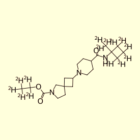 [2H]C([2H])([2H])C([2H])([2H])OC(=O)N1CCC2(CC(N3CCC(C(=O)NC4(C([2H])([2H])[2H])C([2H])([2H])C([2H])([2H])C4([2H])[2H])CC3)C2)C1